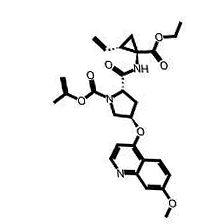 C=C[C@@H]1C[C@]1(NC(=O)[C@@H]1C[C@@H](Oc2ccnc3cc(OC)ccc23)CN1C(=O)OC(=C)C)C(=O)OCC